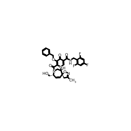 CC1=NO[C@@]2(C=C[C@H](CO)N3C[C@H]2n2cc(C(=O)NCc4c(F)cc(F)cc4F)c(=O)c(OCc4ccccc4)c2C3=O)C1